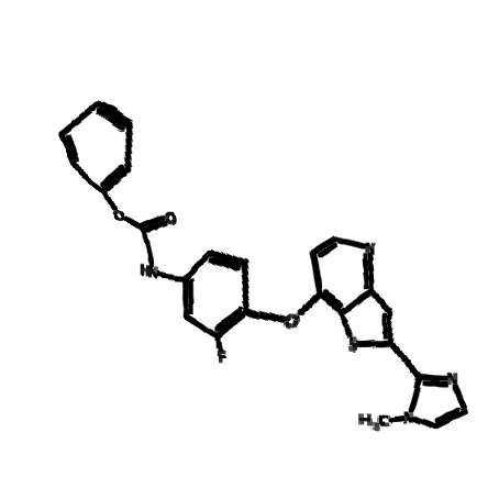 Cn1ccnc1-c1cc2nccc(Oc3ccc(NC(=O)Oc4ccccc4)cc3F)c2s1